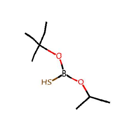 CC(C)OB(S)OC(C)(C)C